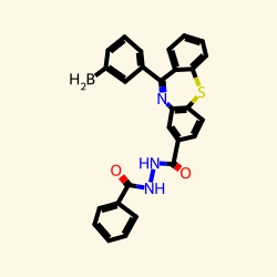 Bc1cccc(C2=Nc3cc(C(=O)NNC(=O)c4ccccc4)ccc3Sc3ccccc32)c1